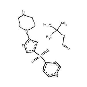 CC(C)(C)OC=O.O=S(=O)(c1ccncc1)c1cnc(N2CCNCC2)s1